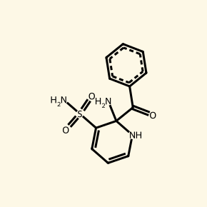 NC1(C(=O)c2ccccc2)NC=CC=C1S(N)(=O)=O